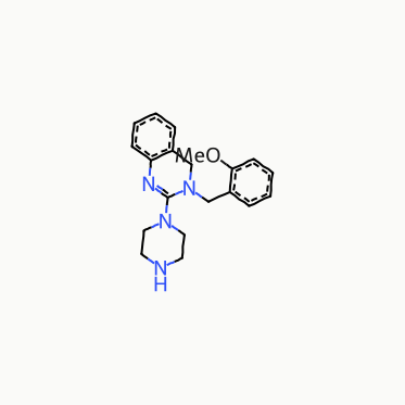 COc1ccccc1CN1Cc2ccccc2N=C1N1CCNCC1